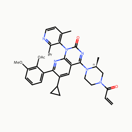 C=CC(=O)N1CCN(c2nc(=O)n(-c3c(C)ccnc3C(C)C)c3nc(-c4cccc(OC)c4OC(C)=O)c(C4CC4)cc23)[C@@H](C)C1